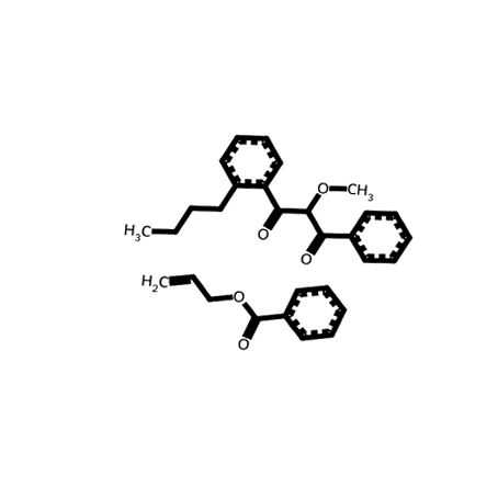 C=CCOC(=O)c1ccccc1.CCCCc1ccccc1C(=O)C(OC)C(=O)c1ccccc1